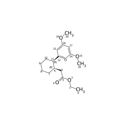 CCOC(=O)C[C@H]1CCCC[C@H]1c1cc(OC)cc(OC)c1